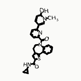 CN1C=C(c2cccc(C(=O)N3CCc4cc(C(=O)NC5CC5)sc4-c4ccccc43)n2)C=CC1O